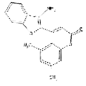 Cc1cc(C)c2c(-c3oc4ccccc4c3N)cc(=O)oc2c1